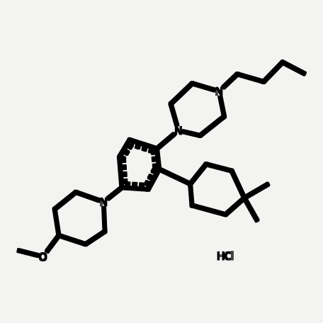 CCCCN1CCN(c2ccc(N3CCC(OC)CC3)cc2C2CCC(C)(C)CC2)CC1.Cl